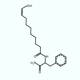 CCCCCCCC/C=C\CCCCCCCC(=O)NC(Cc1ccccc1)C(N)=O